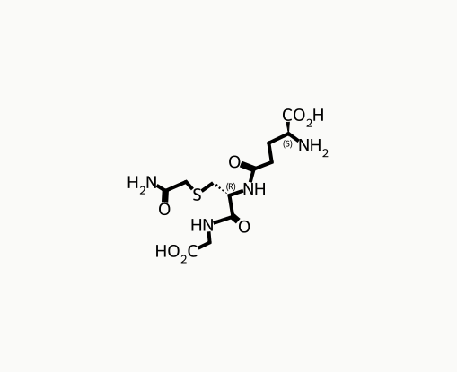 NC(=O)CSC[C@H](NC(=O)CC[C@H](N)C(=O)O)C(=O)NCC(=O)O